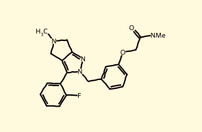 CNC(=O)COc1cccc(Cn2nc3c(c2-c2ccccc2F)CN(C)C3)c1